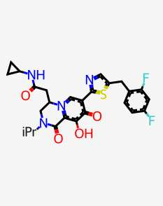 CC(C)N1CC(CC(=O)NC2CC2)n2cc(-c3ncc(Cc4ccc(F)cc4F)s3)c(=O)c(O)c2C1=O